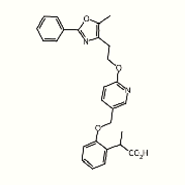 Cc1oc(-c2ccccc2)nc1CCOc1ccc(COc2ccccc2C(C)C(=O)O)cn1